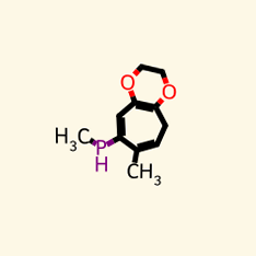 CPC1=CC2=C(CC=C1C)OCCO2